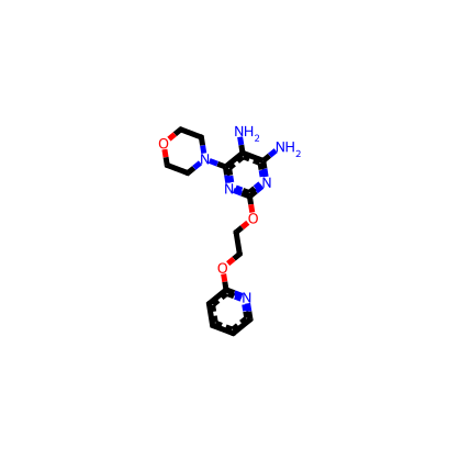 Nc1nc(OCCOc2ccccn2)nc(N2CCOCC2)c1N